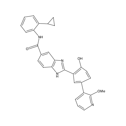 COc1ncccc1-c1ccc(O)c(-c2nc3cc(C(=O)Nc4ccccc4C4CC4)ccc3[nH]2)c1